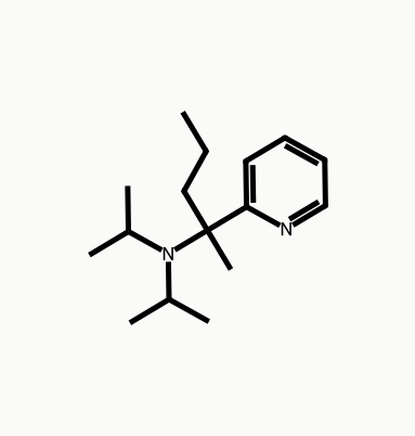 CCCC(C)(c1ccccn1)N(C(C)C)C(C)C